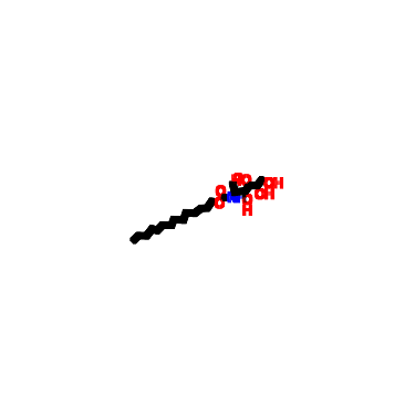 CCCCCCCCCCCCCCOC(=O)N[C@@H](C=O)[C@@H](O)[C@H](O)[C@H](O)CO